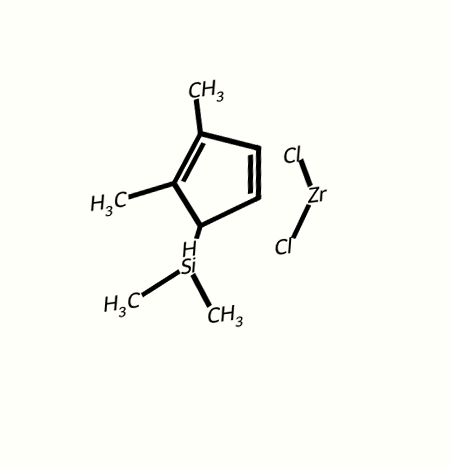 CC1=C(C)C([SiH](C)C)C=C1.[Cl][Zr][Cl]